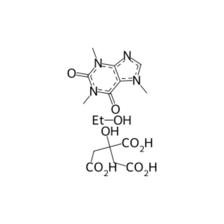 CCO.Cn1c(=O)c2c(ncn2C)n(C)c1=O.O=C(O)CC(O)(CC(=O)O)C(=O)O